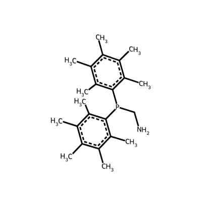 Cc1c(C)c(C)c(P(CN)c2c(C)c(C)c(C)c(C)c2C)c(C)c1C